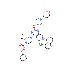 N#CC[C@H]1CN(c2nc(OC3CCN(C4CCOCC4)CC3)nc3c2CCN(c2cccc4cccc(Cl)c24)C3)CCN1C(=O)OCc1ccccc1